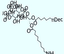 CCCCCCCCCCCCCCCC(=O)O[C@H](COC(=O)CCCCCCCCN)COP(=O)(O)OC1C(O)[C@@H](O)C(OP(=O)(O)O)[C@@H](OP(=O)(O)O)[C@H]1O